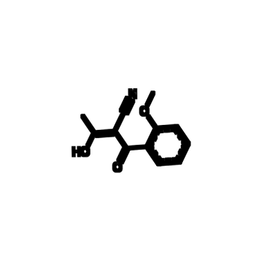 COc1ccccc1C(=O)C(C#N)=C(C)O